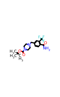 CC(C)(C)OC(=O)N1CCN(Cc2ccc(C(N)=O)c(C(F)(F)F)c2)CC1